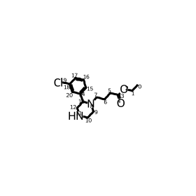 CCOC(=O)CCCN1CCNCC1c1cccc(Cl)c1